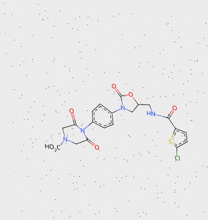 O=C(NCC1CN(c2ccc(N3C(=O)CN(C(=O)O)CC3=O)cc2)C(=O)O1)c1ccc(Cl)s1